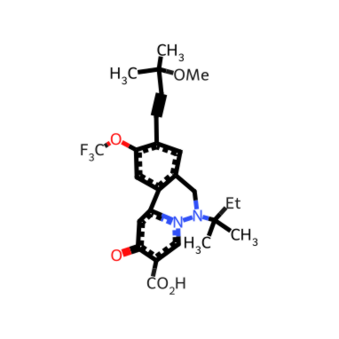 CCC(C)(C)N1Cc2cc(C#CC(C)(C)OC)c(OC(F)(F)F)cc2-c2cc(=O)c(C(=O)O)cn21